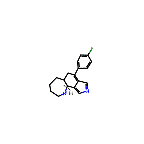 Fc1ccc(C2=C3C=NC=C3[C@H]3NCCCCC3C2)cc1